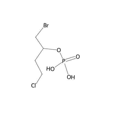 O=P(O)(O)OC(CBr)CCCl